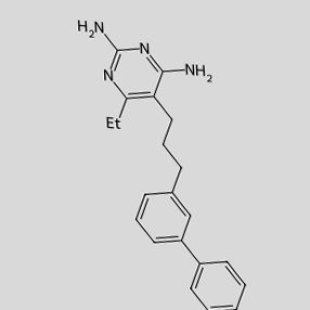 CCc1nc(N)nc(N)c1CCCc1cccc(-c2ccccc2)c1